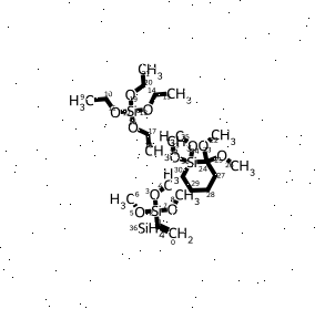 C=C[Si](OC)(OC)OC.CCO[Si](OCC)(OCC)OCC.COC1(OC)CCCC[Si]1(OC)OC.[SiH4]